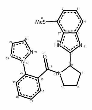 CSc1cccc2nc(C3CCCN3C(=O)c3ccccc3-n3nccn3)[nH]c12